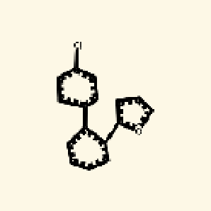 Clc1ccc(-c2ccccc2-c2ccco2)cc1